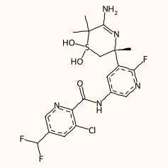 CC1(C)C(N)=N[C@](C)(c2cc(NC(=O)c3ncc(C(F)F)cc3Cl)cnc2F)CS1(O)O